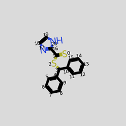 S=C(SC(c1ccccc1)c1ccccc1)c1ncc[nH]1